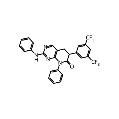 O=C1C(c2cc(C(F)(F)F)cc(C(F)(F)F)c2)Cc2cnc(Nc3ccccc3)nc2N1c1ccccc1